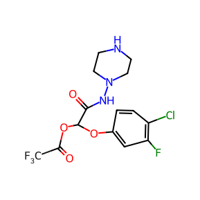 O=C(NN1CCNCC1)C(OC(=O)C(F)(F)F)Oc1ccc(Cl)c(F)c1